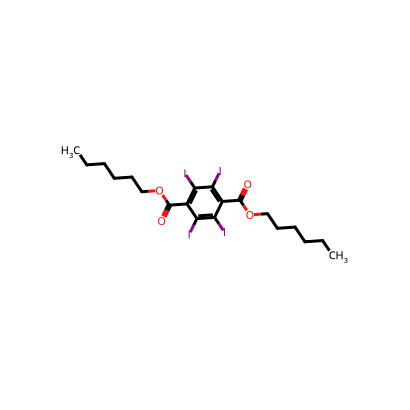 CCCCCCOC(=O)c1c(I)c(I)c(C(=O)OCCCCCC)c(I)c1I